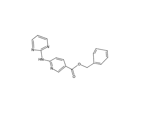 O=C(OCc1ccccc1)c1ccc(Nc2ncccn2)nc1